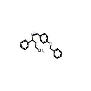 CCCC(/N=C\c1ccc(OCc2ccccc2)cc1)c1ccccc1